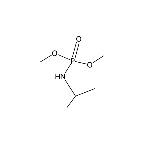 COP(=O)(NC(C)C)OC